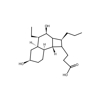 CCC[C@H]1C(CCC(=O)O)[C@H]2C1[C@H](O)[C@H](CC)[C@@H]1C[C@H](O)CC[C@H]21